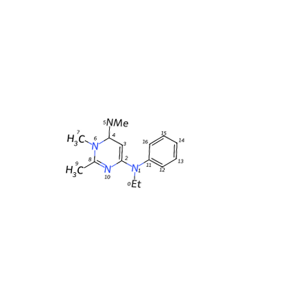 CCN(C1=CC(NC)N(C)C(C)=N1)c1ccccc1